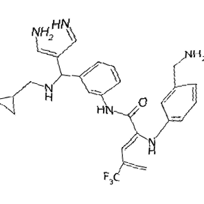 C=C(/C=C(\Nc1cccc(CN)c1)C(=O)Nc1cccc(C(NCC2CC2)/C(C=N)=C/N)c1)C(F)(F)F